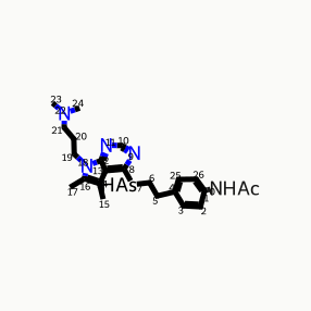 CC(=O)Nc1ccc(CC[AsH]c2ncnc3c2c(C)c(C)n3CCCN(C)C)cc1